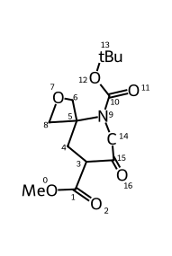 COC(=O)C1CC2(COC2)N(C(=O)OC(C)(C)C)CC1=O